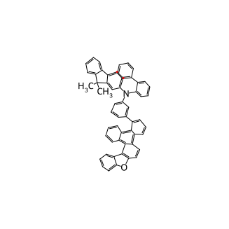 CC1(C)c2ccccc2-c2ccc(N(c3cccc(-c4cccc5c6ccc7oc8ccccc8c7c6c6ccccc6c45)c3)c3ccccc3-c3ccccc3)cc21